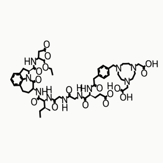 CCOC1OC(=O)CC1NC(=O)[C@@H]1Cc2cccc3c2N1C(=O)[C@@H](NC(=O)[C@@H](NC(=O)CNC(=O)CNC(=O)[C@H](CCC(=O)O)NC(=O)Cc1ccc(CN2CCN(CC(=O)O)CCN(CC(=O)O)CC2)cc1)[C@@H](C)CC)CC3